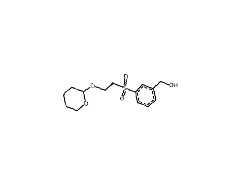 O=S(=O)(CCOC1CCCCO1)c1cccc(CO)c1